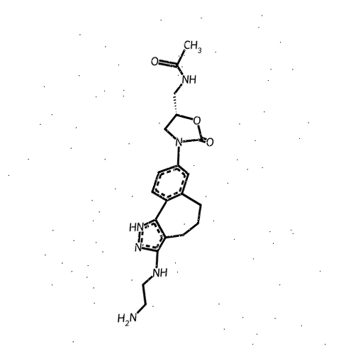 CC(=O)NC[C@H]1CN(c2ccc3c(c2)CCCc2c(NCCN)n[nH]c2-3)C(=O)O1